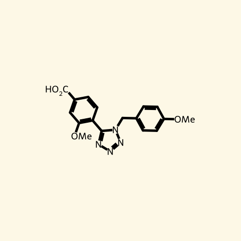 COc1ccc(Cn2nnnc2-c2ccc(C(=O)O)cc2OC)cc1